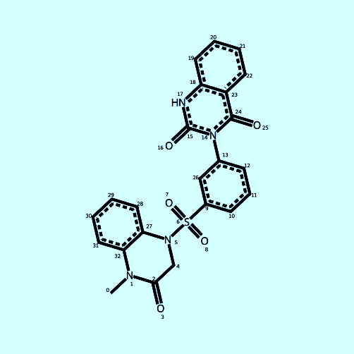 CN1C(=O)CN(S(=O)(=O)c2cccc(-n3c(=O)[nH]c4ccccc4c3=O)c2)c2ccccc21